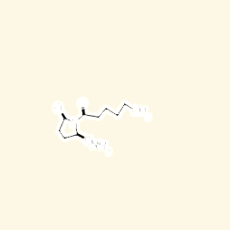 CCCCCC(=O)N1C(=O)CCC1=O.N